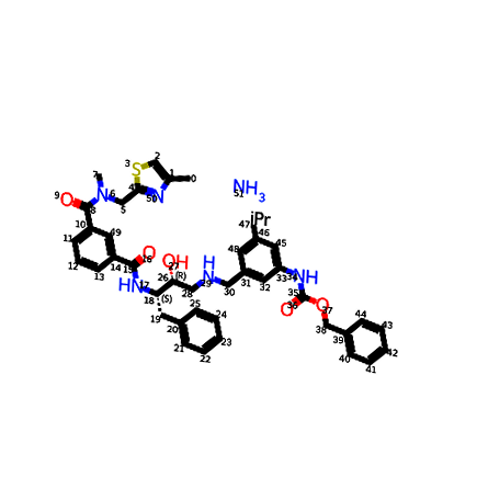 Cc1csc(CN(C)C(=O)c2cccc(C(=O)N[C@@H](Cc3ccccc3)[C@H](O)CNCc3cc(NC(=O)OCc4ccccc4)cc(C(C)C)c3)c2)n1.N